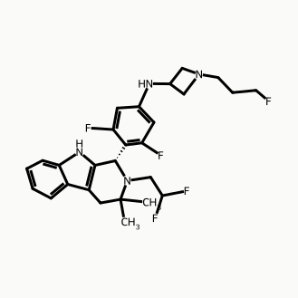 CC1(C)Cc2c([nH]c3ccccc23)[C@H](c2c(F)cc(NC3CN(CCCF)C3)cc2F)N1CC(F)F